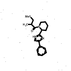 CSCC(C)C(=O)N1CCCCC1c1nc(-c2ccccc2)c[nH]1